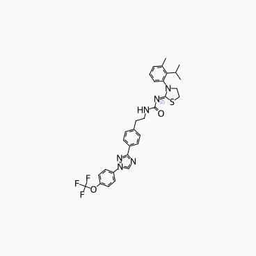 Cc1cccc(N2CCS/C2=N\C(=O)NCCc2ccc(-c3ncn(-c4ccc(OC(F)(F)F)cc4)n3)cc2)c1C(C)C